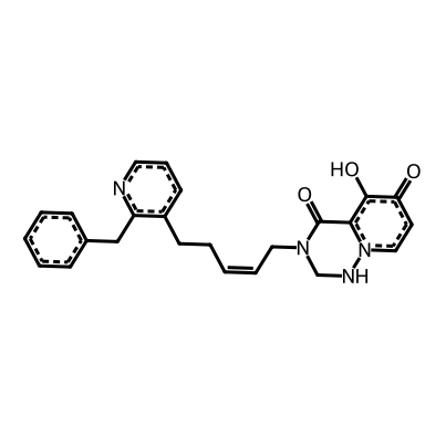 O=C1c2c(O)c(=O)ccn2NCN1C/C=C\CCc1cccnc1Cc1ccccc1